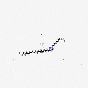 CCCCCCCCCCCCCCCCCCn1cc[n+](CCCCCCCC)c1.[Cl-]